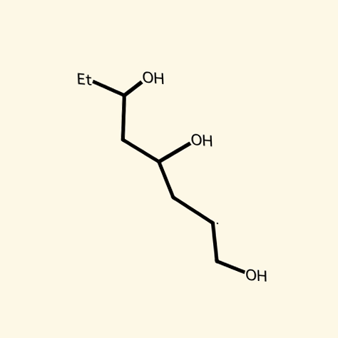 CCC(O)CC(O)C[CH]CO